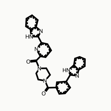 O=C(c1cccc(-c2nc3ccccc3[nH]2)c1)N1CCN(C(=O)c2cccc(-c3nc4ccccc4[nH]3)n2)CC1